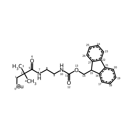 CCC(C)CC(C)(C)C(=O)NCCNC(=O)OCC1c2ccccc2-c2ccccc21